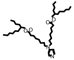 CCCCCCC(CCCC)COC(=O)CCCCCCCN(CCCCCCCC(=O)OCC(CCCC)CCCCCC)c1ccncc1